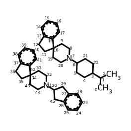 CC(C)C1CCC(N2CCC3(CCc4ccccc43)CC2)CC1.c1ccc2c(c1)CC(N1CCC3(CCc4ccccc43)CC1)C2